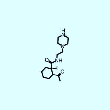 CC(=O)[C@H]1CCCC[C@]1(I)C(=O)NCCN1CCNCC1